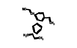 C=CC#N.C=CC=C.C=Cc1ccccc1.c1ccccc1